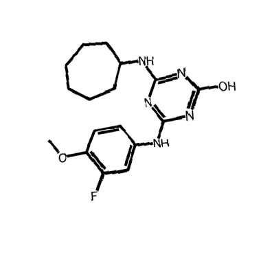 COc1ccc(Nc2nc(O)nc(NC3CCCCCC3)n2)cc1F